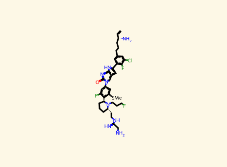 C=C[C@H](N)CCCc1cc(Cl)c(F)c(-c2cc3cn(-c4cc(F)c([C@@H]5CCC[C@@H](CCNC(=N)CN)N5CCCF)c(SC)c4)c(=O)nc3[nH]2)c1